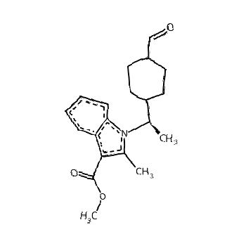 COC(=O)c1c(C)n([C@H](C)C2CCC(C=O)CC2)c2ccccc12